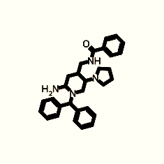 NC1CC(CNC(=O)c2ccccc2)C(N2CCCC2)CN1C(c1ccccc1)c1ccccc1